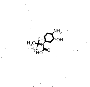 CC(C)(C)N(C(=O)O)[C@@H]1CC[C@@H](N)[C@@H](O)C1